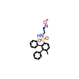 CON=CCNS(=O)(=O)c1ccc(C)c(-c2ccccc2)c1-c1ccccc1